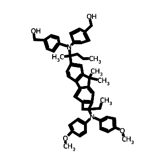 CCCC(C)(c1ccc2c(c1)C(C)(C)c1cc3c(cc1-2)CC3(CC)N(c1ccc(OC)cc1)c1ccc(OC)cc1)N(c1ccc(CO)cc1)c1ccc(CO)cc1